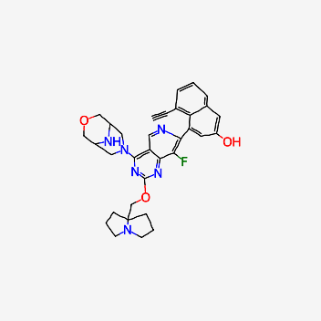 C#Cc1cccc2cc(O)cc(-c3ncc4c(N5CC6COCC(C5)N6)nc(OCC56CCCN5CCC6)nc4c3F)c12